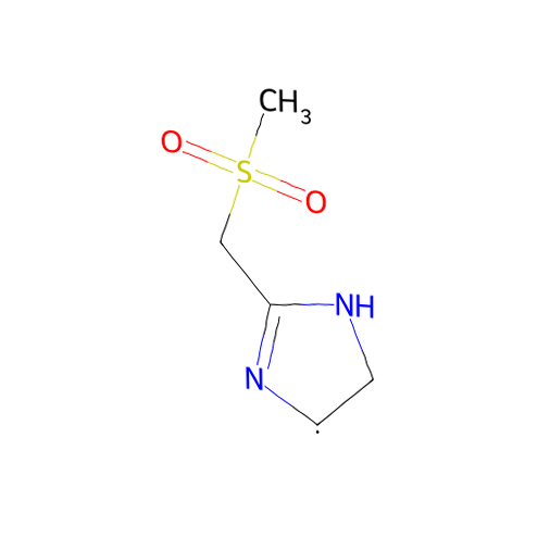 CS(=O)(=O)CC1=N[CH]CN1